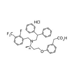 C[C@H](CCOc1cccc(CC(=O)O)c1)N(Cc1cccc(C(F)(F)F)c1F)CC(c1ccccc1)c1ccccc1.Cl